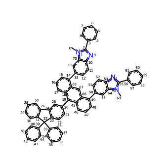 Cn1c(-c2ccccc2)nc2ccc(-c3cccc4c(-c5ccc6c(c5)-c5ccccc5C6(c5ccccc5)c5ccccc5)c5cccc(-c6ccc7nc(-c8ccccc8)n(C)c7c6)c5cc34)cc21